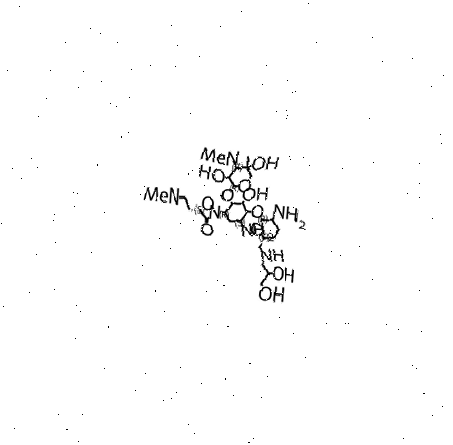 CNCC[C@@H]1ON([C@@H]2C[C@H](N)C(O[C@H]3O[C@H](CNCC(O)CO)CCC3N)C(O)C2O[C@H]2OCC(C)(O)[C@H](NC)C2O)C1=O